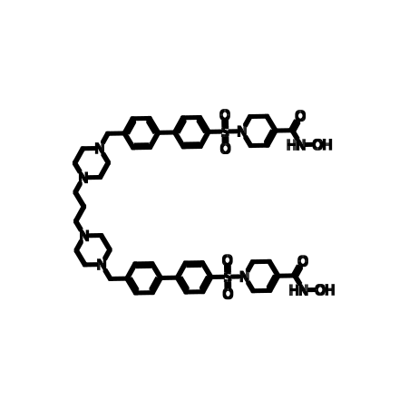 O=C(NO)C1=CCN(S(=O)(=O)c2ccc(-c3ccc(CN4CCN(CCCN5CCN(Cc6ccc(-c7ccc(S(=O)(=O)N8CC=C(C(=O)NO)CC8)cc7)cc6)CC5)CC4)cc3)cc2)CC1